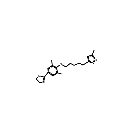 Cc1cc(CCCCCOc2c(C)cc(C3=NCCO3)cc2Cl)on1